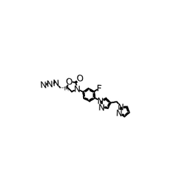 [N-]=[N+]=NC[C@H]1CN(c2ccc(-n3cc(Cn4cccn4)cn3)c(F)c2)C(=O)O1